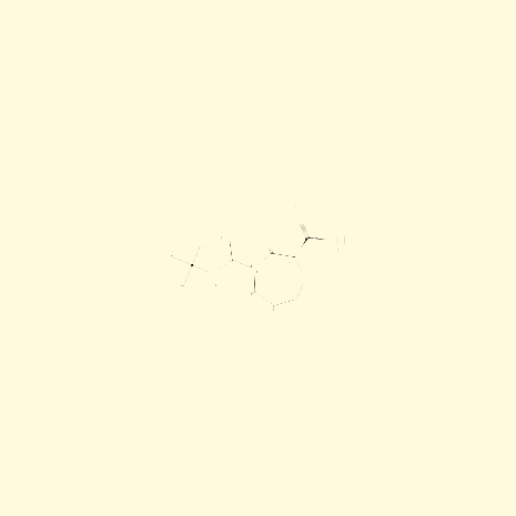 CC(C)(C)OC(O)N1CCCO[C@H](C(=O)O)C1